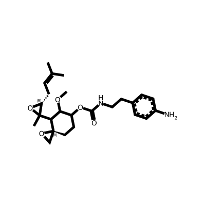 COC1C(OC(=O)NCCc2ccc(N)cc2)CC[C@]2(CO2)C1C1(C)O[C@@H]1CC=C(C)C